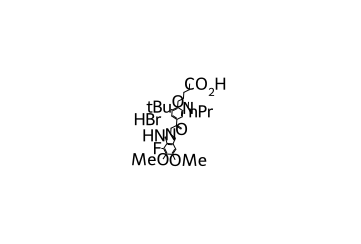 Br.CCCN(C)c1cc(C(=O)CN2Cc3cc(OC)c(OC)c(F)c3C2=N)cc(C(C)(C)C)c1OCCCC(=O)O